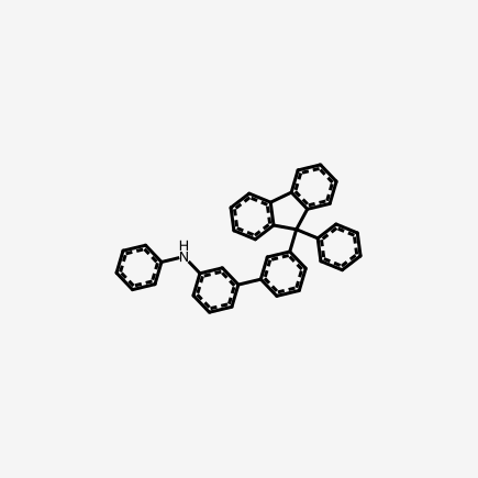 c1ccc(Nc2cccc(-c3cccc(C4(c5ccccc5)c5ccccc5-c5ccccc54)c3)c2)cc1